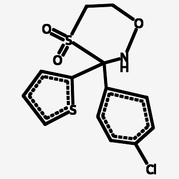 O=S1(=O)CCONC1(c1ccc(Cl)cc1)c1cccs1